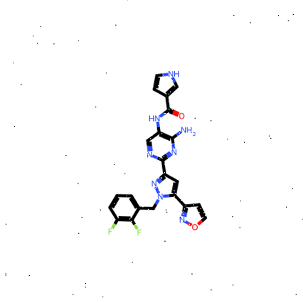 Nc1nc(-c2cc(-c3ccon3)n(Cc3cccc(F)c3F)n2)ncc1NC(=O)c1cc[nH]c1